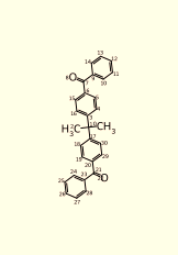 CC(C)(c1ccc(C(=O)c2ccccc2)cc1)c1ccc(C(=O)c2ccccc2)cc1